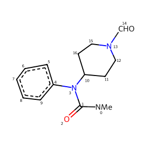 CNC(=O)N(c1ccccc1)C1CCN(C=O)CC1